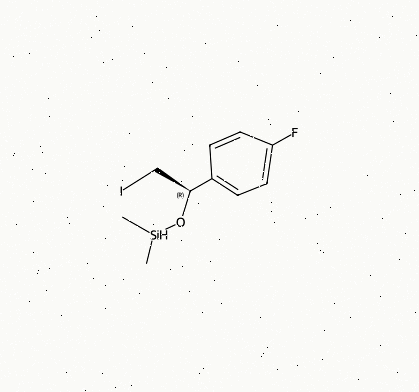 C[SiH](C)O[C@@H](CI)c1ccc(F)cc1